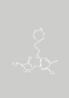 CCc1cc(-n2nnn(C)c2=O)c(OCCN2CCOCC2)cc1F